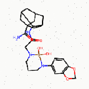 NC(=O)C12CC3CC(C1)C(NC(=O)CN1CCCN(c4ccc5c(c4)OCO5)S1(O)O)C(C3)C2